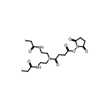 O=C(CI)NCCN(CCNC(=O)CI)C(=O)CCC(=O)ON1C(=O)CCC1=O